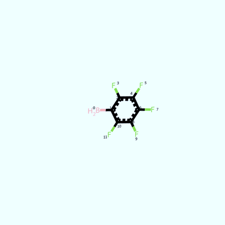 Bc1c(F)c(F)c(F)c(F)c1F